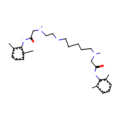 CCCN(CCCCCNCCN(CC)CC(=O)Nc1c(C)cccc1C)CC(=O)Nc1c(C)cccc1C